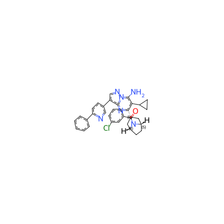 Nc1c(C2CC2)c([C@H]2C[C@H]3CC[C@@H](C2)N3C(=O)c2cccc(Cl)c2)nc2c(-c3ccc(-c4ccccc4)nc3)cnn12